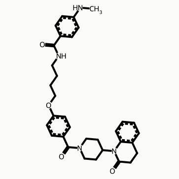 CNc1ccc(C(=O)NCCCCOc2ccc(C(=O)N3CCC(N4C(=O)CCc5ccccc54)CC3)cc2)cc1